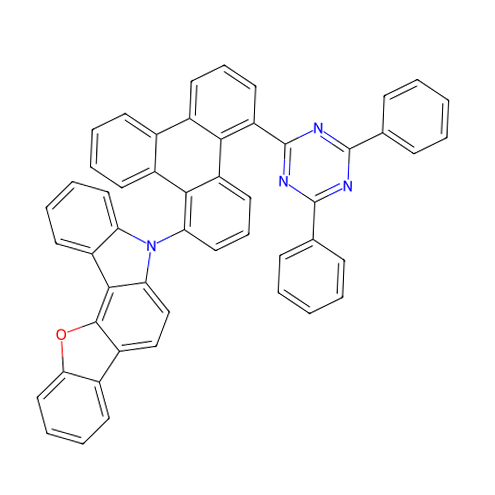 c1ccc(-c2nc(-c3ccccc3)nc(-c3cccc4c5ccccc5c5c(-n6c7ccccc7c7c8oc9ccccc9c8ccc76)cccc5c34)n2)cc1